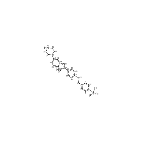 FC(F)(F)c1ccc(COc2ccc(-c3nc4cc(C5CCNCC5)ccc4[nH]3)cc2)cc1